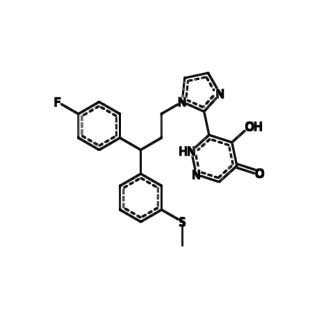 CSc1cccc(C(CCn2ccnc2-c2[nH]ncc(=O)c2O)c2ccc(F)cc2)c1